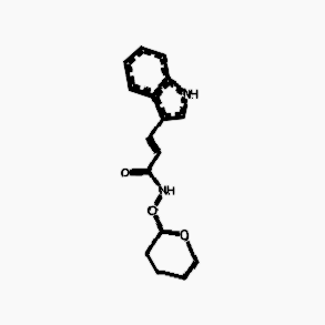 O=C(/C=C/c1c[nH]c2ccccc12)NOC1CCCCO1